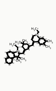 CCN1C=C/C(=C\C2=CC(=C/C3=[N+](CC)c4ccc5ccccc5c4C3(C)C)/CC(C)(C)C2)c2cc(C)c(C)cc21